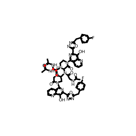 CC(=O)NCC(=O)N1CC(=O)N(c2nc(-c3nnc(Cc4ccc(F)cc4)o3)c(O)c3ncccc23)CC1N(C(=O)CNC(C)=O)C1C(=O)N(c2nc(-c3nnc(Cc4ccc(F)cc4)o3)c(O)c3ncccc23)CCN1C(=O)CNC(C)=O